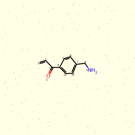 C=CC(=O)c1ccc(CN)cc1